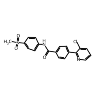 CS(=O)(=O)c1ccc(NC(=O)c2ccc(-c3ncccc3Cl)cc2)cc1